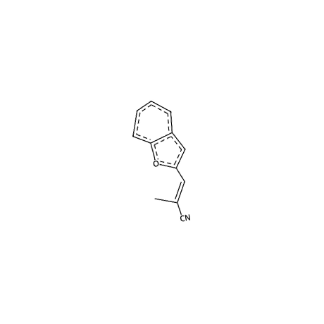 CC(C#N)=Cc1cc2ccccc2o1